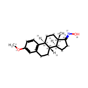 COc1ccc2c(c1)CC[C@@H]1[C@@H]2CC[C@]2(C)C(=NO)CC[C@@H]12